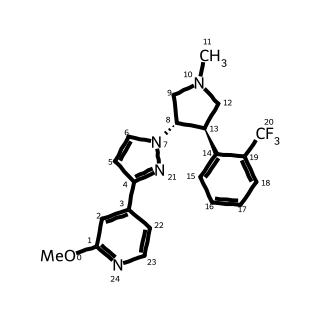 COc1cc(-c2ccn([C@@H]3CN(C)C[C@H]3c3ccccc3C(F)(F)F)n2)ccn1